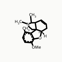 COc1ccc(C)c2c1O[C@H]1CC=CC3C(C)N(C)CCC231